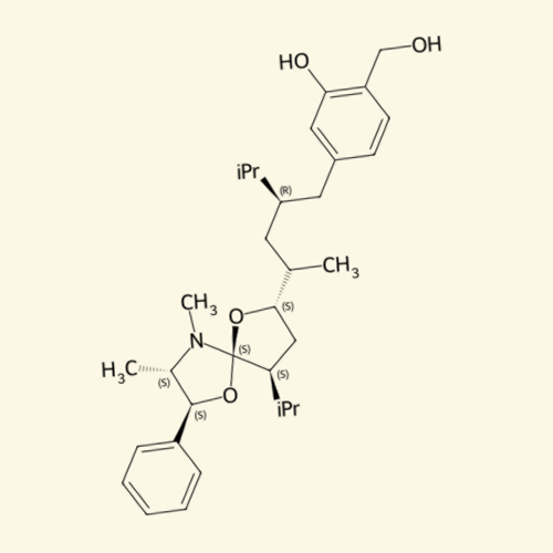 CC(C)[C@@H](Cc1ccc(CO)c(O)c1)CC(C)[C@@H]1C[C@@H](C(C)C)[C@]2(O1)O[C@@H](c1ccccc1)[C@H](C)N2C